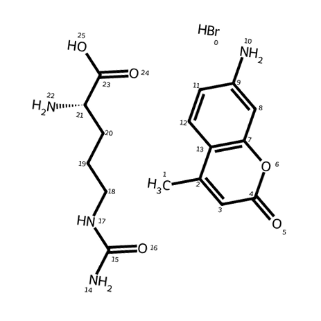 Br.Cc1cc(=O)oc2cc(N)ccc12.NC(=O)NCCC[C@H](N)C(=O)O